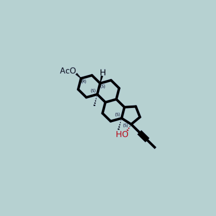 CC#C[C@]1(O)CCC2C3CC[C@H]4C[C@H](OC(C)=O)CC[C@]4(C)C3CC[C@@]21C